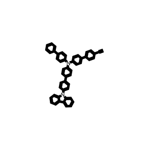 C#Cc1ccc(-c2ccc(N(c3ccc(-c4ccccc4)cc3)c3ccc(-c4ccc(-n5c6ccccc6c6ccccc65)cc4)cc3)cc2)cc1